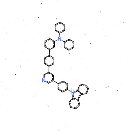 c1ccc(N(c2ccccc2)c2cccc(-c3ccc(-c4cncc(-c5ccc(-n6c7ccccc7c7ccccc76)cc5)c4)cc3)c2)cc1